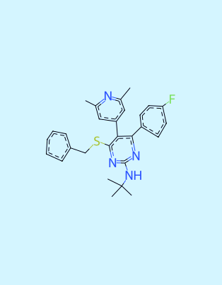 Cc1cc(-c2c(SCc3ccccc3)nc(NC(C)(C)C)nc2-c2ccc(F)cc2)cc(C)n1